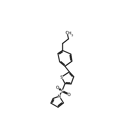 CCCc1ccc(-c2ccc(S(=O)(=O)n3cccc3)s2)cc1